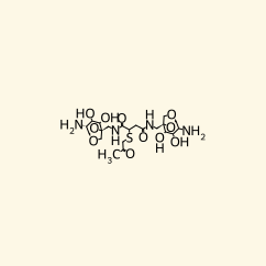 CC(=O)CSC(CC(=O)NC[C@@]12COC(O1)C(N)[C@@H](O)[C@H]2O)C(=O)NC[C@@]12COC(O1)[C@H](N)[C@@H](O)[C@H]2O